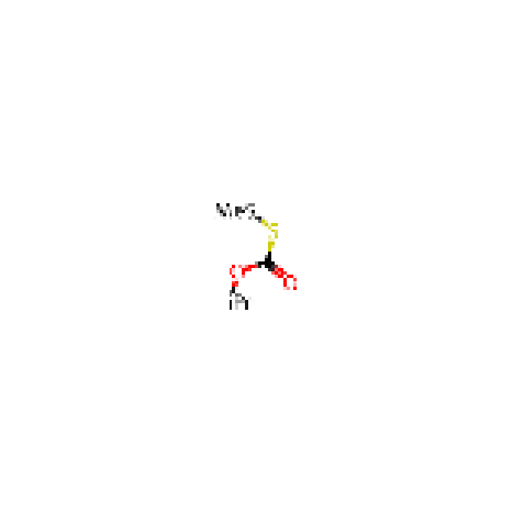 CSSC(=O)O[C](C)C